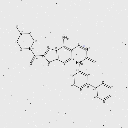 C=C(/N=C\c1ccc2sc(C(=O)N3CCN(C)CC3)cc2c1N)Nc1cccc(-c2ccccc2)c1